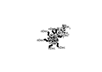 CCCCCCCCCCCC[SiH](C)O[Si](C)(CCCCCCCCCCCC)O[Si](C)(CCCCCCCCCCCC)O[Si](C)(CCCCCCCCCCCC)O[Si](C)(CCCCCCCCCCCC)O[Si](C)(CCCCCCCCCCCC)O[Si](C)(CCCCCCCCCCCC)OO[Si](C)(C)O[Si](C)(C)C